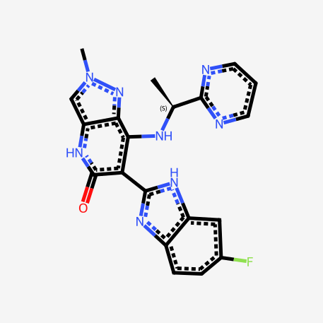 C[C@H](Nc1c(-c2nc3ccc(F)cc3[nH]2)c(=O)[nH]c2cn(C)nc12)c1ncccn1